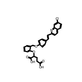 O=C(O)CCC(Oc1ccccc1COc1ccc(/C=C/c2ccc3ccc(Cl)cc3n2)cc1)C(=O)O